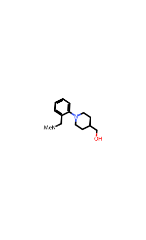 CNCc1ccccc1N1CCC(CO)CC1